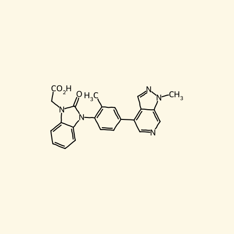 Cc1cc(-c2cncc3c2cnn3C)ccc1-n1c(=O)n(CC(=O)O)c2ccccc21